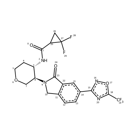 O=C(N[C@H]1CCOC[C@@H]1N1Cc2ccc(-c3noc(C(F)(F)F)n3)cc2C1=O)C1CC1(F)F